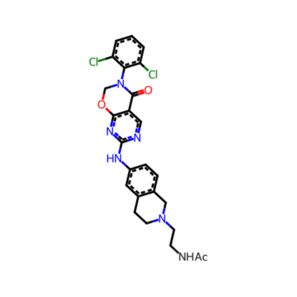 CC(=O)NCCN1CCc2cc(Nc3ncc4c(n3)OCN(c3c(Cl)cccc3Cl)C4=O)ccc2C1